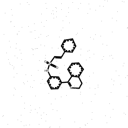 O=S(=O)(C=Cc1ccccc1)Nc1cccc(C2=NCCc3ccccc32)c1